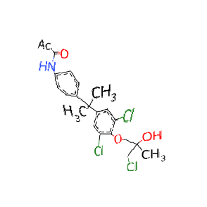 CC(=O)C(=O)Nc1ccc(C(C)(C)c2cc(Cl)c(OCC(C)(O)CCl)c(Cl)c2)cc1